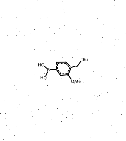 COc1cc(B(O)O)ccc1CC(C)(C)C